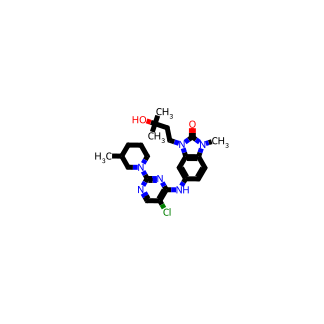 CC1CCCN(c2ncc(Cl)c(Nc3ccc4c(c3)n(CCC(C)(C)O)c(=O)n4C)n2)C1